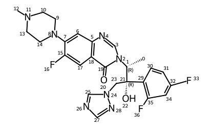 C[C@@H](n1cnc2cc(N3CCN(C)CC3)c(F)cc2c1=O)[C@](O)(Cn1cncn1)c1ccc(F)cc1F